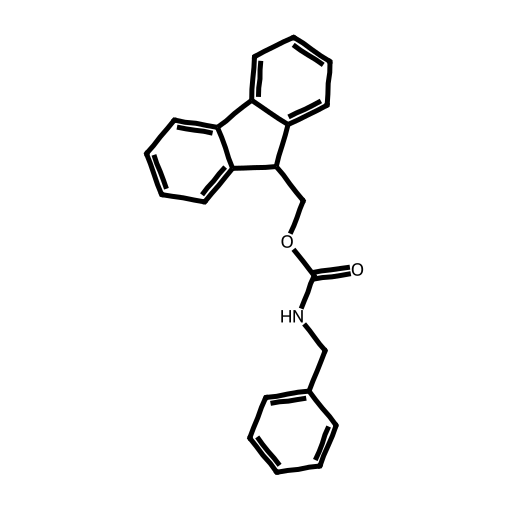 O=C(NCc1ccccc1)OCC1c2ccccc2-c2ccccc21